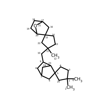 CC1(C)CCC2(CC3CC(CC4(C)CCC5(CC6CCC5O6)C4)C2C3)C1